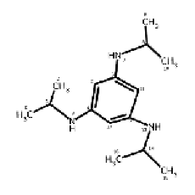 CC(C)Nc1cc(NC(C)C)cc(NC(C)C)c1